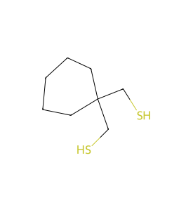 SCC1(CS)CCCCC1